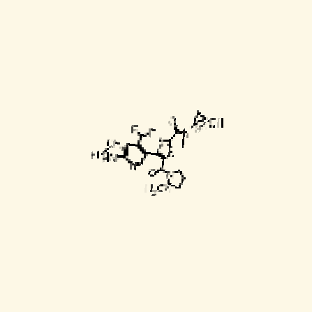 CCC(Nc1cc(C(F)F)c(-c2sc(C(=O)N[C@@H]3C[C@@H]3O)nc2C(=O)N2CCC[C@@H]2C)cn1)C(F)(F)F